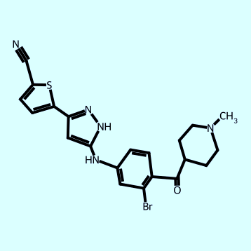 CN1CCC(C(=O)c2ccc(Nc3cc(-c4ccc(C#N)s4)n[nH]3)cc2Br)CC1